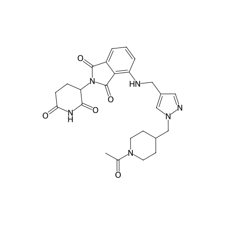 CC(=O)N1CCC(Cn2cc(CNc3cccc4c3C(=O)N(C3CCC(=O)NC3=O)C4=O)cn2)CC1